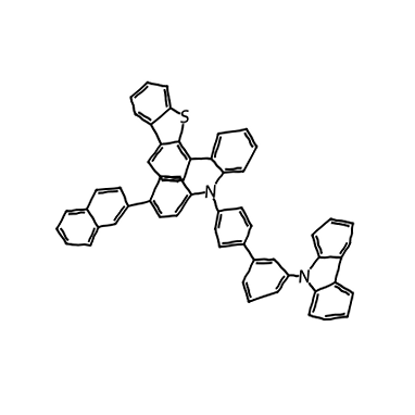 c1cc(-c2ccc(N(c3ccc(-c4ccc5ccccc5c4)cc3)c3ccccc3-c3cccc4c3sc3ccccc34)cc2)cc(-n2c3ccccc3c3ccccc32)c1